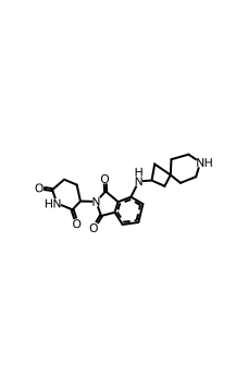 O=C1CCC(N2C(=O)c3cccc(NC4CC5(CCNCC5)C4)c3C2=O)C(=O)N1